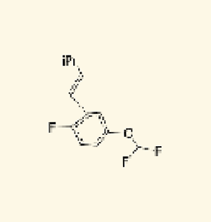 CC(C)C=Cc1cc(OC(F)F)ccc1F